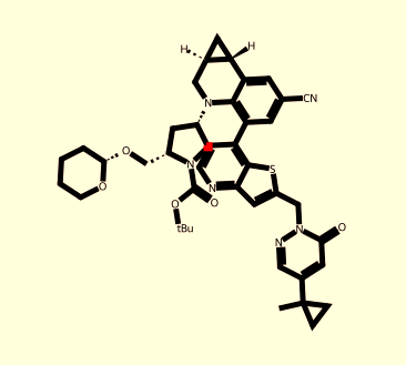 CC(C)(C)OC(=O)N1C[C@@H](N2C[C@H]3C[C@@H]3c3cc(C#N)cc(-c4ccnc5cc(Cn6ncc(C7(C)CC7)cc6=O)sc45)c32)C[C@H]1CO[C@H]1CCCCO1